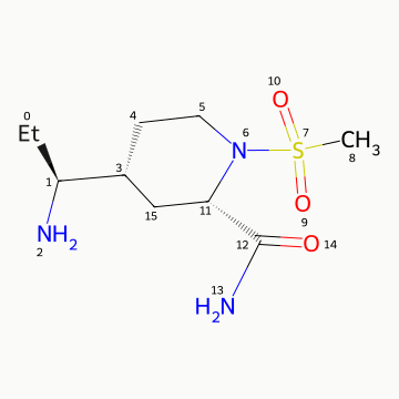 CC[C@H](N)[C@@H]1CCN(S(C)(=O)=O)[C@H](C(N)=O)C1